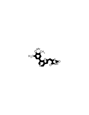 CCCOc1c(C)cc(-c2cncc3cc(C=C4SC(=O)NC4=O)oc23)cc1C